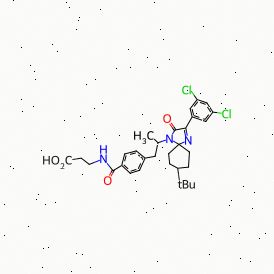 CC(Cc1ccc(C(=O)NCCC(=O)O)cc1)N1C(=O)C(c2cc(Cl)cc(Cl)c2)=NC12CCC(C(C)(C)C)CC2